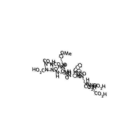 COc1ccc(CCCC(=O)NCC(=O)N[C@@H](CCCCNC(=O)CN2CCN(CC(=O)O)CCN(CC(=O)O)CCN(CC(=O)O)CC2)C(=O)NC[C@H]2CC[C@H](C(=O)N[C@@H](Cc3c4ccccc4cc4ccccc34)C(=O)NCCCC[C@H](NC(=O)N[C@@H](CCCC(=O)O)C(=O)O)C(=O)O)CC2)cc1